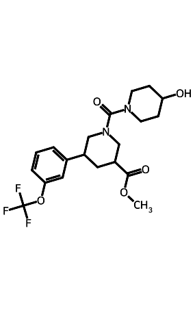 COC(=O)C1CC(c2cccc(OC(F)(F)F)c2)CN(C(=O)N2CCC(O)CC2)C1